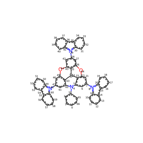 c1ccc(N2c3cc(-n4c5ccccc5c5ccccc54)cc4c3B3c5c(cc(-n6c7ccccc7c7ccccc76)cc5Oc5cc(-n6c7ccccc7c7ccccc76)cc2c53)O4)cc1